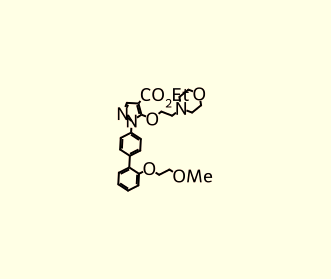 CCOC(=O)c1cnn(-c2ccc(-c3ccccc3OCCOC)cc2)c1OCCN1CCOCC1